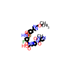 CC(C)OCc1ncc(-c2ccc(S(=O)(=O)Nc3cc(F)c(C(=O)N[C@@H](Cc4ccc(-n5c(=O)c6ccncc6n(C)c5=O)cn4)C(=O)O)cc3F)cc2)cn1